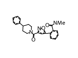 CNC(=O)c1ccccc1-c1cc(C(=O)N2CCC(c3ccccc3)CC2)no1